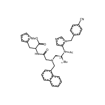 CC[C@H](C)[C@@H](CN(CC(=O)NC(Cc1cccs1)C(=O)OC)Cc1cccc2ccccc12)N(C(C)=O)c1cncn1Cc1ccc(C#N)cc1